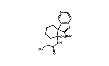 CNC(=S)C1(c2cccnc2)CCCCC1(NC(=O)OC(C)(C)C)OC(C)=O